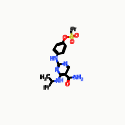 CC(C)C(C)Nc1nc(Nc2ccc(OS(=O)(=O)C(C)C)cc2)ncc1C(N)=O